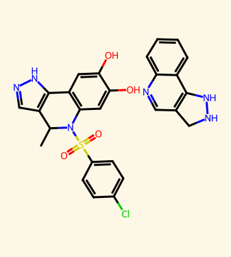 CC1c2cn[nH]c2-c2cc(O)c(O)cc2N1S(=O)(=O)c1ccc(Cl)cc1.c1ccc2c3c(cnc2c1)CNN3